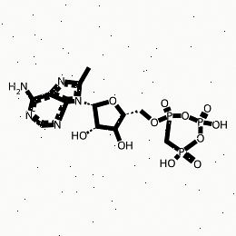 Cc1nc2c(N)ncnc2n1[C@@H]1O[C@H](COP2(=O)CP(=O)(O)OP(=O)(O)O2)C(O)[C@@H]1O